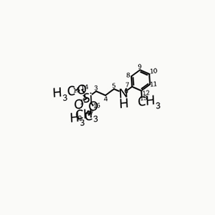 CO[Si](CCCNc1ccccc1C)(OC)OC